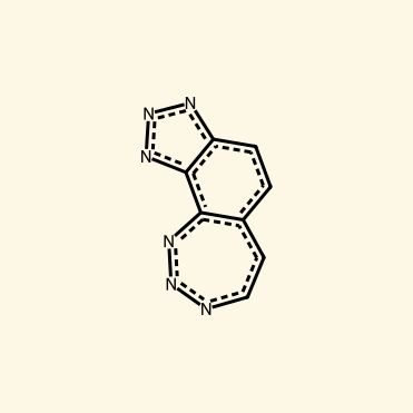 c1cc2ccc3nnnc3c2nnn1